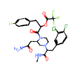 CNC(=O)C(Cc1ccc(Cl)c(Cl)c1)N1CCN(C(=O)C(Cc2ccc(F)cc2)OC(=O)C(F)(F)F)C(CC(N)=O)C1